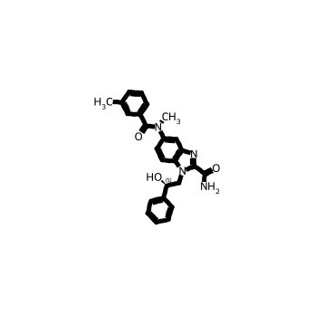 Cc1cccc(C(=O)N(C)c2ccc3c(c2)nc(C(N)=O)n3C[C@@H](O)c2ccccc2)c1